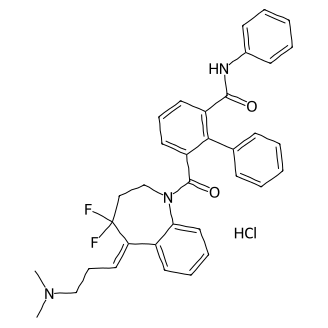 CN(C)CCC=C1c2ccccc2N(C(=O)c2cccc(C(=O)Nc3ccccc3)c2-c2ccccc2)CCC1(F)F.Cl